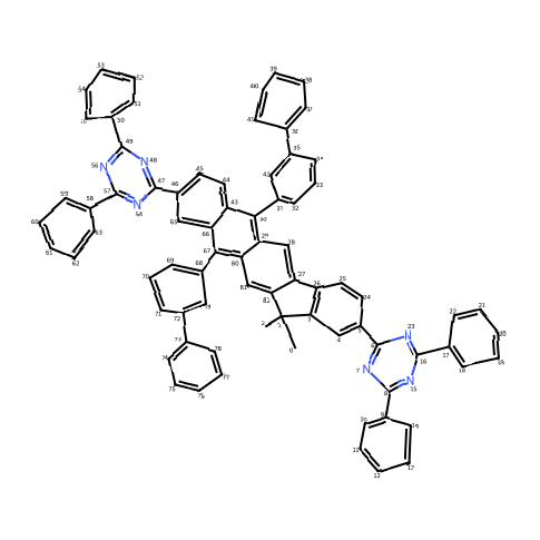 CC1(C)c2cc(-c3nc(-c4ccccc4)nc(-c4ccccc4)n3)ccc2-c2cc3c(-c4cccc(-c5ccccc5)c4)c4ccc(-c5nc(-c6ccccc6)nc(-c6ccccc6)n5)cc4c(-c4cccc(-c5ccccc5)c4)c3cc21